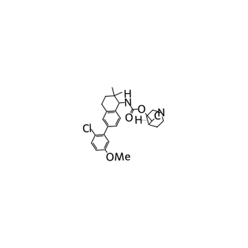 COc1ccc(Cl)c(-c2ccc3c(c2)CCC(C)(C)C3NC(=O)O[C@H]2CN3CCC2CC3)c1